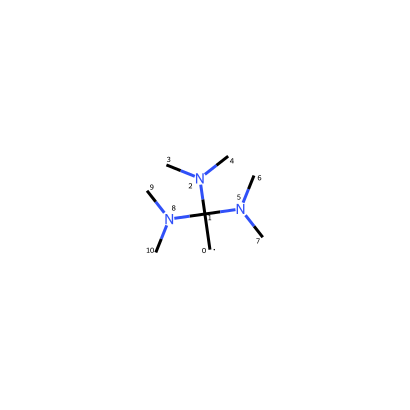 [CH2]C(N(C)C)(N(C)C)N(C)C